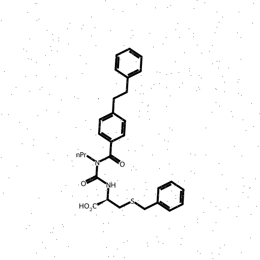 CCCN(C(=O)N[C@@H](CSCc1ccccc1)C(=O)O)C(=O)c1ccc(CCc2ccccc2)cc1